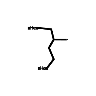 [CH2]C(CCCCCCC)CCCCCCCC